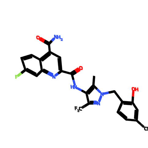 Cc1c(NC(=O)c2cc(C(N)=O)c3ccc(F)cc3n2)c(C(F)(F)F)nn1Cc1ccc(C#N)cc1O